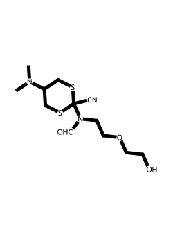 CN(C)C1CSC(C#N)(N(C=O)CCOCCO)SC1